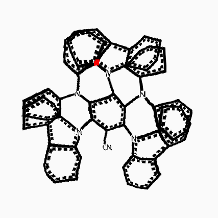 N#Cc1c(-n2c3ccccc3c3ccccc32)c(N(c2ccccc2)c2ccccc2)c(-n2c3ccccc3c3ccccc32)c(N(c2ccccc2)c2ccccc2)c1-n1c2ccccc2c2ccccc21